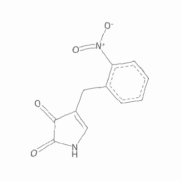 O=C1NC=C(Cc2ccccc2[N+](=O)[O-])C1=O